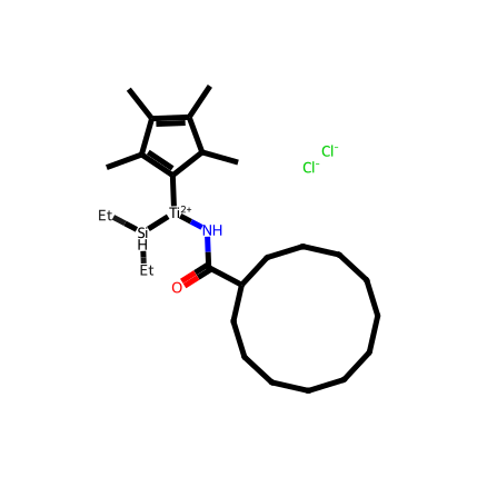 CC[SiH](CC)[Ti+2]([NH]C(=O)C1CCCCCCCCCCC1)[C]1=C(C)C(C)=C(C)C1C.[Cl-].[Cl-]